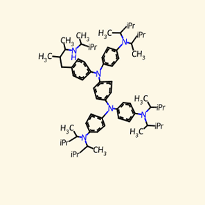 CC(C)C(C)NC(C)C(C)Cc1ccc(N(c2ccc(N(c3ccc(N(C(C)C(C)C)C(C)C(C)C)cc3)c3ccc(N(C(C)C(C)C)C(C)C(C)C)cc3)cc2)c2ccc(N(C(C)C(C)C)C(C)C(C)C)cc2)cc1